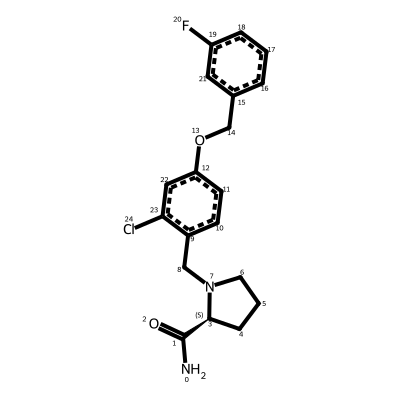 NC(=O)[C@@H]1CCCN1Cc1ccc(OCc2cccc(F)c2)cc1Cl